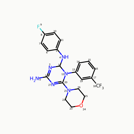 NC1=NC(Nc2ccc(F)cc2)N(c2cccc(C(F)(F)F)c2)C(N2CCOCC2)=N1